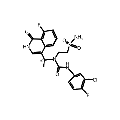 C[C@@H](c1c[nH]c(=O)c2c(F)cccc12)N(CCS(N)(=O)=O)C(=O)Nc1ccc(F)c(Cl)c1